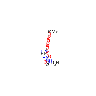 CCC(CC(C)C(=O)NCCNC(=O)C1=C(C(=O)O)CCCC1)C(=O)NCCOCOCOCOCOCOCOCOC